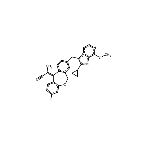 COc1nccn2c(Cc3ccc4c(c3)COc3cc(F)ccc3C4=C(C)C#N)c(C3CC3)nc12